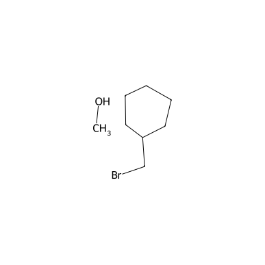 BrCC1CCCCC1.CO